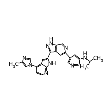 Cc1cn(-c2ccnc3[nH]c(-c4n[nH]c5cnc(-c6cncc(NC(C)C)c6)cc45)cc23)cn1